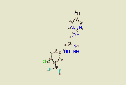 Cc1cnc(NC/C(=C/Nc2ccc(Cl)c(C(F)F)c2)N=N)nc1